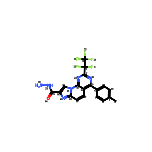 Cc1ccc(-c2nc(C(F)(F)C(F)(F)F)nc3c2ccc2nc(C(=O)NN)cn23)cc1